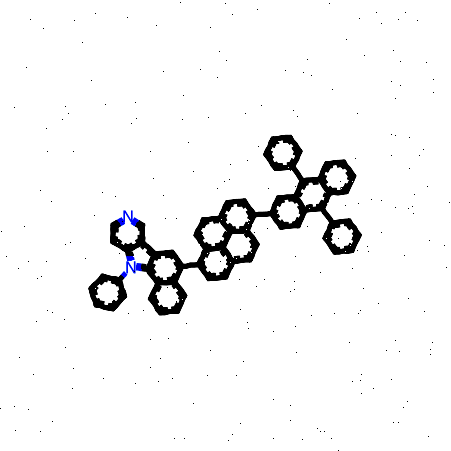 c1ccc(-c2c3ccccc3c(-c3ccccc3)c3cc(-c4ccc5ccc6c(-c7cc8c9cnccc9n(-c9ccccc9)c8c8ccccc78)ccc7ccc4c5c76)ccc23)cc1